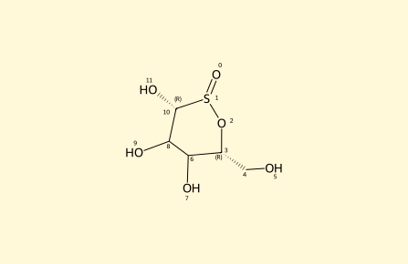 O=S1O[C@H](CO)C(O)C(O)[C@@H]1O